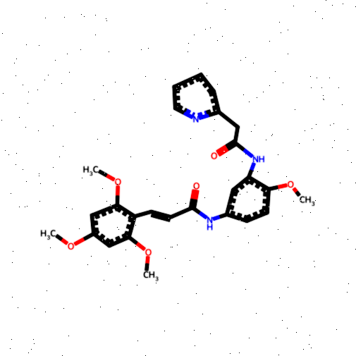 COc1cc(OC)c(/C=C/C(=O)Nc2ccc(OC)c(NC(=O)Cc3ccccn3)c2)c(OC)c1